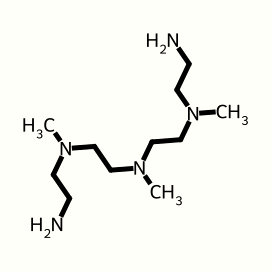 CN(CCN)CCN(C)CCN(C)CCN